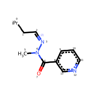 CC(C)C/C=N\N(C)C(=O)c1cccnc1